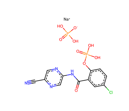 N#Cc1cnc(NC(=O)c2cc(Cl)ccc2OP(=O)(O)O)cn1.O=P([O-])(O)O.[Na+]